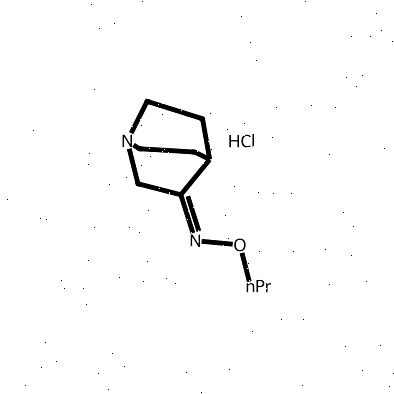 CCCON=C1CN2CCC1CC2.Cl